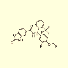 O=C(N[C@@H](c1ccc(OCF)c(F)c1)c1ncccc1C(F)(F)F)c1ccc2oc(=O)[nH]c2c1